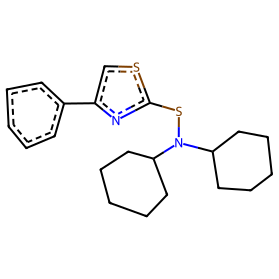 c1ccc(-c2csc(SN(C3CCCCC3)C3CCCCC3)n2)cc1